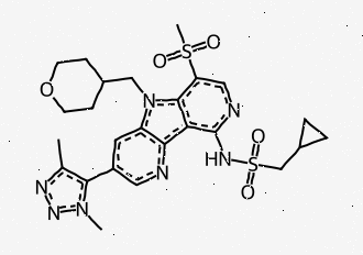 Cc1nnn(C)c1-c1cnc2c3c(NS(=O)(=O)CC4CC4)ncc(S(C)(=O)=O)c3n(CC3CCOCC3)c2c1